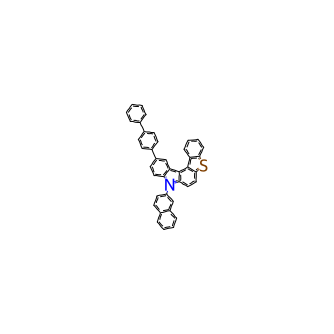 c1ccc(-c2ccc(-c3ccc4c(c3)c3c5c(ccc3n4-c3ccc4ccccc4c3)sc3ccccc35)cc2)cc1